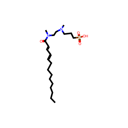 CCCCCCCCCC=CC=CC(=O)N(C)CCN(C)CCCS(=O)(=O)O